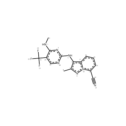 CNc1nc(Nc2c(C)nn3c(C#N)cccc23)ncc1C(F)(F)F